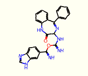 N=C(NC1N=C(c2ccccc2)c2ccccc2NC1=O)OC(=N)c1ccc2nc[nH]c2c1